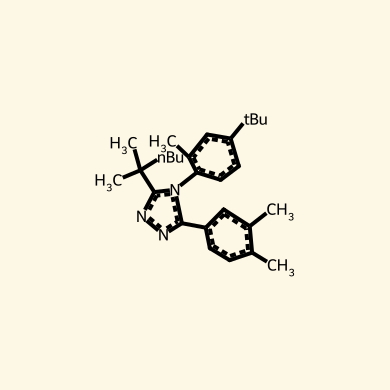 CCCCC(C)(C)c1nnc(-c2ccc(C)c(C)c2)n1-c1ccc(C(C)(C)C)cc1C